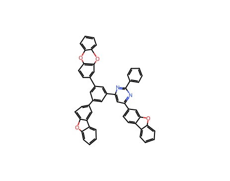 c1ccc(-c2nc(-c3cc(-c4ccc5c(c4)Oc4ccccc4O5)cc(-c4ccc5oc6ccccc6c5c4)c3)cc(-c3ccc4c(c3)oc3ccccc34)n2)cc1